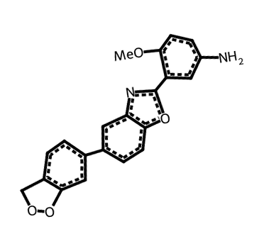 COc1ccc(N)cc1-c1nc2cc(-c3ccc4c(c3)OOC4)ccc2o1